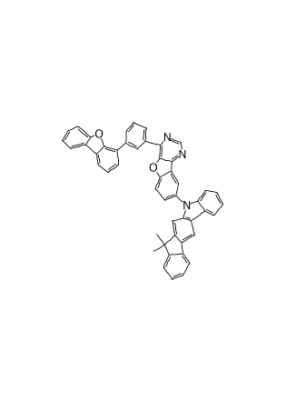 CC1(C)c2ccccc2-c2cc3c4ccccc4n(-c4ccc5oc6c(-c7cccc(-c8cccc9c8oc8ccccc89)c7)ncnc6c5c4)c3cc21